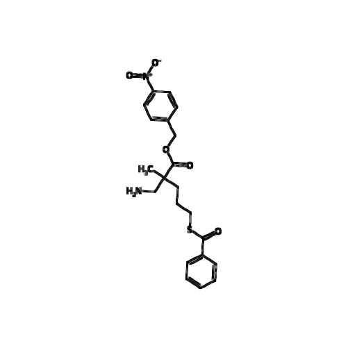 CC(CN)(CCCSC(=O)c1ccccc1)C(=O)OCc1ccc([N+](=O)[O-])cc1